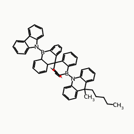 CCCCCC1(C)c2ccccc2N(B2c3ccccc3C3(c4ccccc4B(n4c5ccccc5c5ccccc54)C4C=CC=CC43)C3C=CC=CC23)c2ccccc21